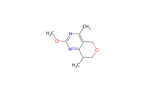 COc1nc(C)c2c(n1)C(C)COC2